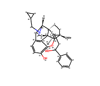 CO[C@]12CC[C@@]3(C[C@@H]1CC(O)c1ccccc1)[C@H]1Cc4ccc(O)c5c4[C@@]3(CCN1CC1CC1)[C@H]2O5